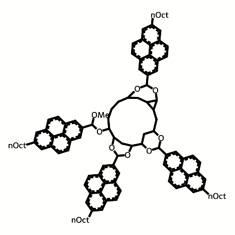 CCCCCCCCc1cc2ccc3cc(C(OC)OC4CCCC5CC6C(CC7CC(OC(c8cc9ccc%10cc(CCCCCCCC)cc%11ccc(c8)c9c%10%11)O7)C7CC4OC(c4cc8ccc9cc(CCCCCCCC)cc%10ccc(c4)c8c9%10)O7)C6OC(c4cc6ccc7cc(CCCCCCCC)cc8ccc(c4)c6c78)O5)cc4ccc(c1)c2c34